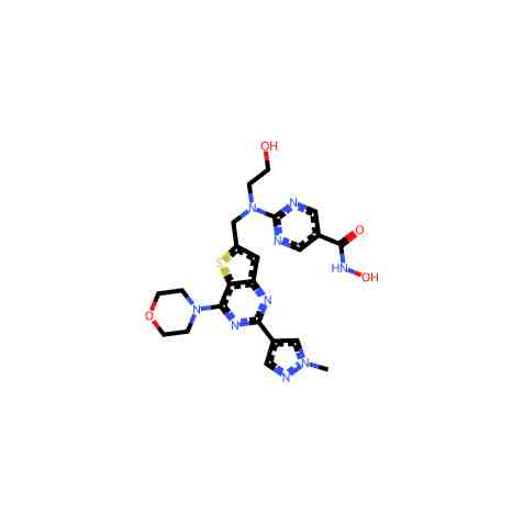 Cn1cc(-c2nc(N3CCOCC3)c3sc(CN(CCO)c4ncc(C(=O)NO)cn4)cc3n2)cn1